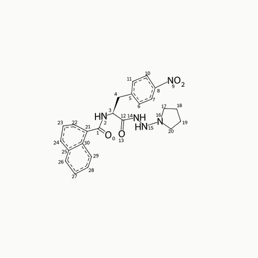 O=C(N[C@@H](Cc1ccc([N+](=O)[O-])cc1)C(=O)NNN1CCCC1)c1cccc2ccccc12